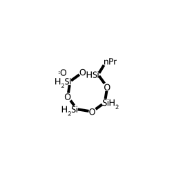 CCC[SiH]1O[SiH2]O[SiH2]O[SiH2]O1.[O]